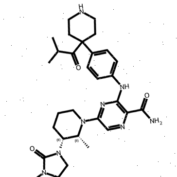 CC(C)C(=O)C1(c2ccc(Nc3nc(N4CCC[C@@H](N5CCN(C)C5=O)[C@H]4C)cnc3C(N)=O)cc2)CCNCC1